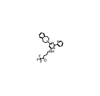 O=C(CCCNc1cc(N2CCc3ccccc3CC2)nc(-c2ccccn2)n1)C(F)(F)F